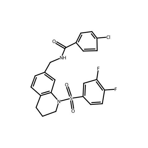 O=C(NCc1ccc2c(c1)N(S(=O)(=O)c1ccc(F)c(F)c1)CCC2)c1ccc(Cl)cc1